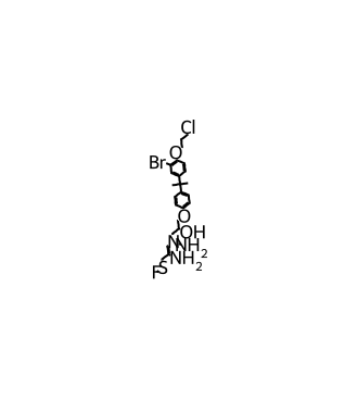 CC(C)(c1ccc(OC[C@H](O)CN(N)/C=C(\N)CSF)cc1)c1ccc(OCCCCl)c(Br)c1